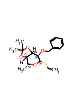 CCS[C@H]1O[C@H](C)[C@@H]2OC(C)(C)O[C@@H]2[C@H]1OCc1ccccc1